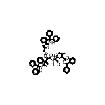 CC1=C(C(=O)OC(c2ccccc2)c2ccccc2)N2C(=O)C(NC(=O)/C(=N\OCc3csc(NC(c4ccccc4)(c4ccccc4)c4ccccc4)n3)c3csc(NC(c4ccccc4)(c4ccccc4)c4ccccc4)n3)[C@@H]2SC1